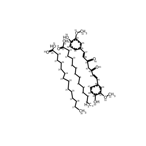 CCCCCCCCCCCCCC(=O)O.CCCCCCCCCCCCCC(=O)O.COc1cc(/C=C/C(=O)CC(=O)/C=C/c2ccc(O)c(OC)c2)ccc1O